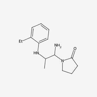 CCc1ccccc1NC(C)C(N)N1CCCC1=O